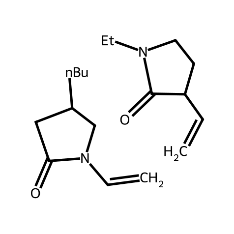 C=CC1CCN(CC)C1=O.C=CN1CC(CCCC)CC1=O